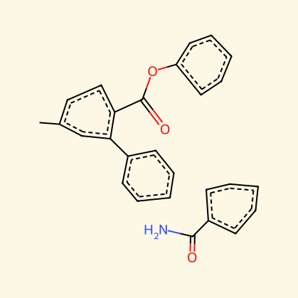 Cc1ccc(C(=O)Oc2ccccc2)c(-c2ccccc2)c1.NC(=O)c1ccccc1